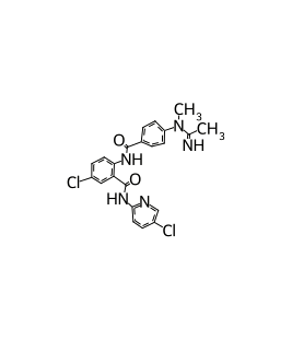 CC(=N)N(C)c1ccc(C(=O)Nc2ccc(Cl)cc2C(=O)Nc2ccc(Cl)cn2)cc1